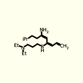 C=C/C=C(BCCCN(CC)CC)\C=C(\N)CCC(C)C